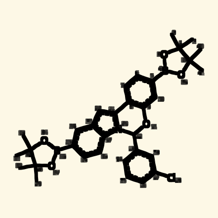 CC1(C)OB(c2ccc3c(c2)OC(c2cccc(Cl)c2)n2c-3cc3cc(B4OC(C)(C)C(C)(C)O4)ccc32)OC1(C)C